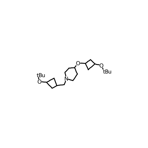 CC(C)(C)OC1CC(CN2CCC(OC3CC(OC(C)(C)C)C3)CC2)C1